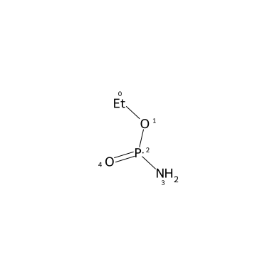 CCO[P](N)=O